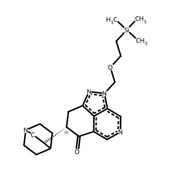 C[Si](C)(C)CCOCn1nc2c3c(cncc31)C(=O)[C@H](C1CN3CCC1CC3)C2